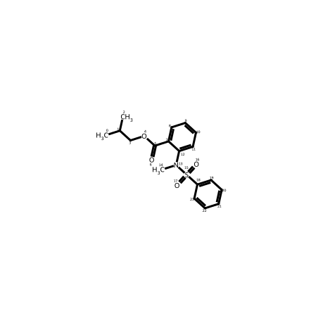 CC(C)COC(=O)c1ccccc1N(C)S(=O)(=O)c1ccccc1